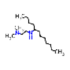 CCCCCCCC(CCCC)NCCN(C)C